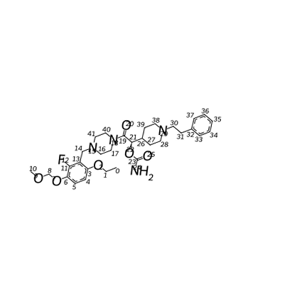 CCOc1ccc(OCOC)c(F)c1CN1CCN(C(=O)[C@H](OC(N)=O)C2CCN(CCc3ccccc3)CC2)CC1